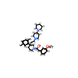 Cc1ccc(C)c([C@@]2(CCN3CCC(N4CCCCC4)CC3)CCCN(C(=O)Cc3cccc(OC(C)C)c3)C2)c1